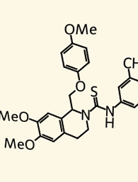 COc1ccc(OCC2c3cc(OC)c(OC)cc3CCN2C(=S)Nc2cccc(C)c2)cc1